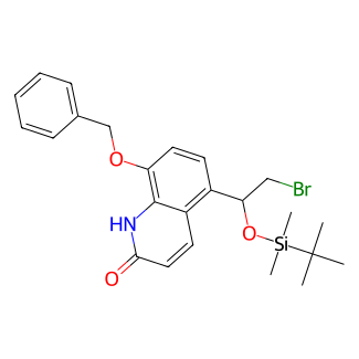 CC(C)(C)[Si](C)(C)OC(CBr)c1ccc(OCc2ccccc2)c2[nH]c(=O)ccc12